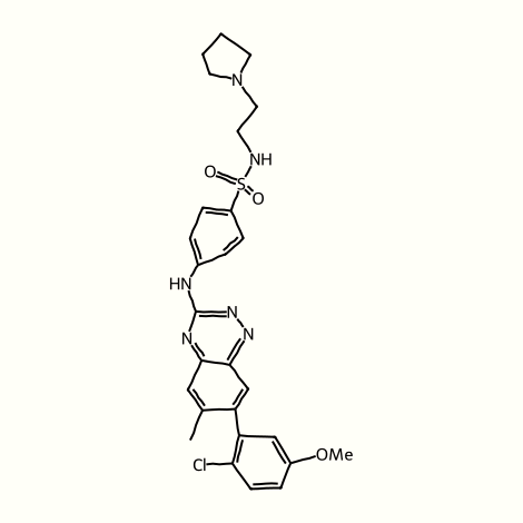 COc1ccc(Cl)c(-c2cc3nnc(Nc4ccc(S(=O)(=O)NCCN5CCCC5)cc4)nc3cc2C)c1